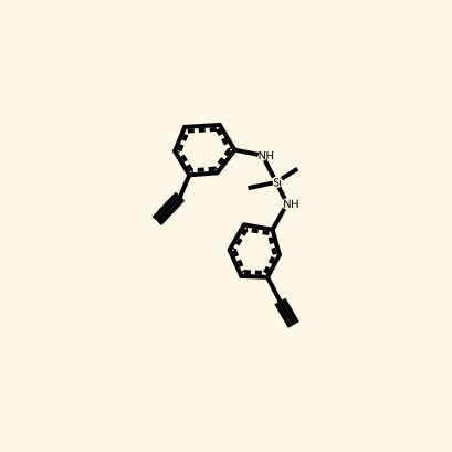 C#Cc1cccc(N[Si](C)(C)Nc2cccc(C#C)c2)c1